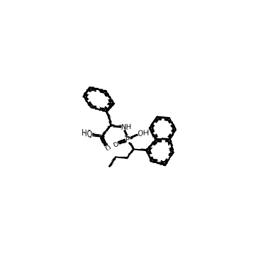 CCCC(c1cccc2ccccc12)P(=O)(O)NC(C(=O)O)c1ccccc1